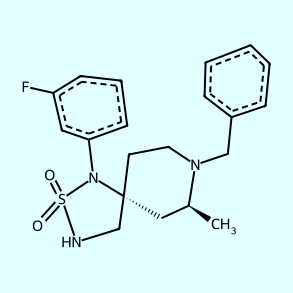 C[C@H]1C[C@]2(CCN1Cc1ccccc1)CNS(=O)(=O)N2c1cccc(F)c1